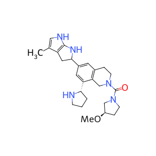 CO[C@@H]1CCN(C(=O)N2CCc3cc(C4Cc5c(C)c[nH]c5N4)cc([C@@H]4CCCN4)c3C2)C1